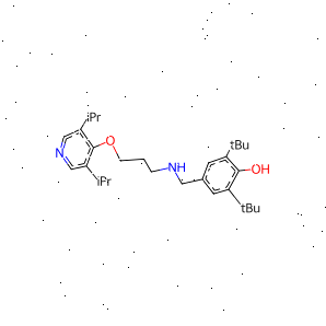 CC(C)c1cncc(C(C)C)c1OCCCNCc1cc(C(C)(C)C)c(O)c(C(C)(C)C)c1